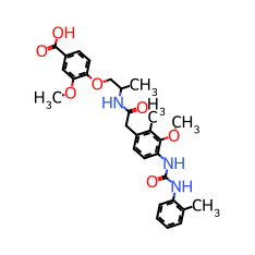 COc1cc(C(=O)O)ccc1OCC(C)NC(=O)Cc1ccc(NC(=O)Nc2ccccc2C)c(OC)c1C